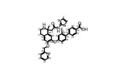 CC1(CC(=O)Nc2nccs2)NCCc2cc(OCc3ccccn3)c(Oc3ccc(-c4ccc(C(=O)O)cc4)c(F)c3)cc21